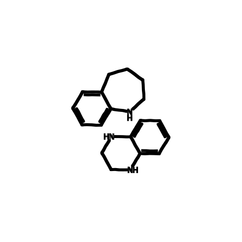 c1ccc2c(c1)CCCCN2.c1ccc2c(c1)NCCN2